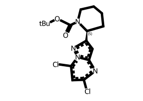 CC(C)(C)OC(=O)N1CCCC[C@H]1c1cc2nc(Cl)cc(Cl)n2n1